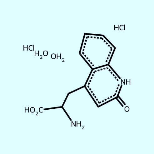 Cl.Cl.NC(Cc1cc(=O)[nH]c2ccccc12)C(=O)O.O.O